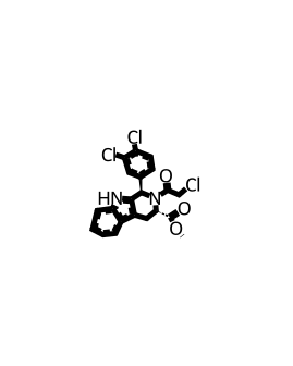 COC(=O)[C@@H]1Cc2c([nH]c3ccccc23)[C@@H](c2ccc(Cl)c(Cl)c2)N1C(=O)CCl